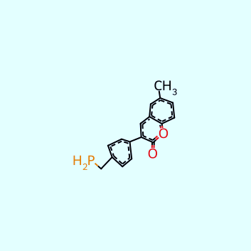 Cc1ccc2oc(=O)c(-c3ccc(CP)cc3)cc2c1